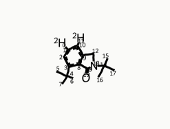 [2H]c1cc(C(C)(C)C)c2c(c1[2H])CN(C(C)(C)C)C2=O